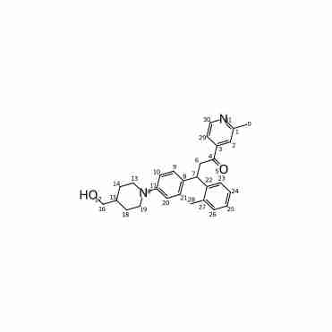 Cc1cc(C(=O)CC(c2ccc(N3CCC(CO)CC3)cc2)c2ccccc2C)ccn1